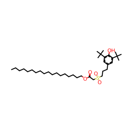 CCCCCCCCCCCCCCCCCCOC(=O)CS(=O)(=O)CCCc1cc(C(C)(C)C)c(O)c(C(C)(C)C)c1